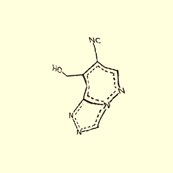 [C-]#[N+]c1cnn2cnnc2c1O